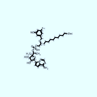 CCCCCCCCCCCCCCCCCCCC[C@H](COP(=O)(O)O[C@@H](C)[C@@]1(C)O[C@@H](c2ccc3c(N)ncnn23)[C@H](O)[C@@H]1O)OCc1cc(F)cc(C#N)c1